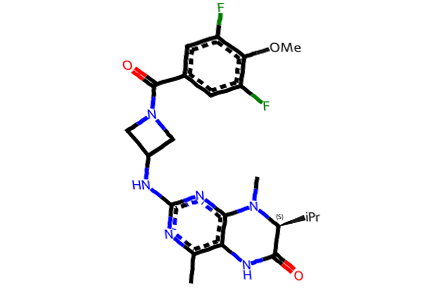 COc1c(F)cc(C(=O)N2CC(Nc3nc(C)c4c(n3)N(C)[C@@H](C(C)C)C(=O)N4)C2)cc1F